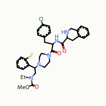 CCN(CC(c1ccccc1F)N1CCN(C(=O)C(Cc2ccc(Cl)cc2)NC(=O)C2Cc3ccccc3CN2)CC1)C(=O)OC